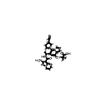 CC(NC(=O)c1c(N)nn2cccnc12)c1cc(Cl)c2cncn2c1N1CCC(C#N)C1.O=C(O)C(F)(F)F